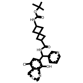 CC(C)(C)OC(=O)NC1CC2(C1)CC(C(=O)NC(c1cccnc1)c1cc(Cl)c3cccnc3c1O)C2